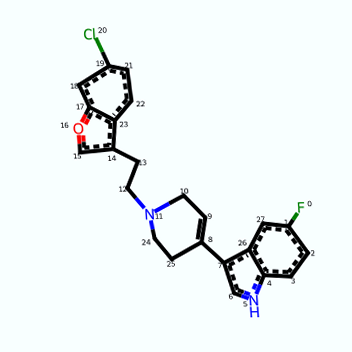 Fc1ccc2[nH]cc(C3=CCN(CCc4coc5cc(Cl)ccc45)CC3)c2c1